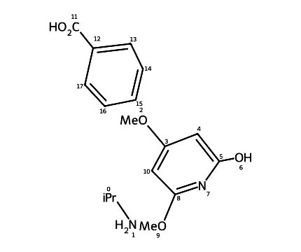 CC(C)N.COc1cc(O)nc(OC)c1.O=C(O)c1ccccc1